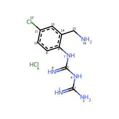 Cl.N=C(N)NC(=N)Nc1ccc(Cl)cc1CN